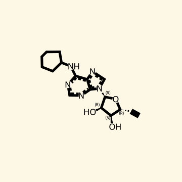 C#C[C@H]1O[C@@H](n2cnc3c(NC4CCCCC4)ncnc32)[C@H](O)[C@@H]1O